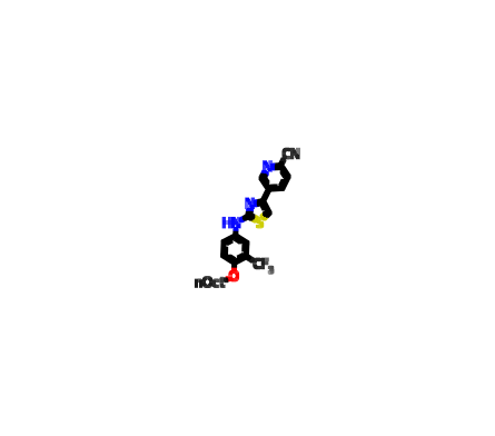 CCCCCCCCOc1ccc(Nc2nc(-c3ccc(C#N)nc3)cs2)cc1C(F)(F)F